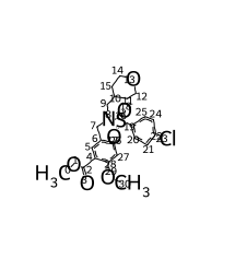 COC(=O)c1cc(CN(CC2CCOCC2)S(=O)(=O)c2ccc(Cl)cc2)ccc1OC